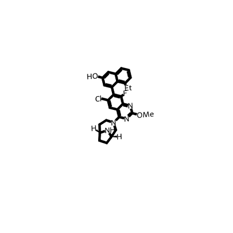 CCc1cccc2cc(O)cc(-c3c(Cl)cc4c(N5CC[C@H]6CC[C@@H](C5)N6)nc(OC)nc4c3F)c12